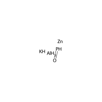 O=P.[AlH3].[KH].[Zn]